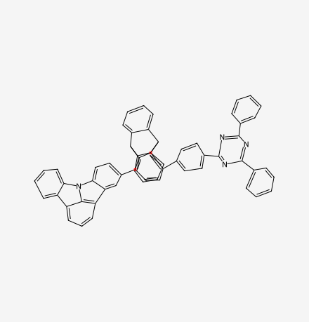 c1ccc(-c2nc(-c3ccccc3)nc(-c3ccc(-c4ccc(-c5ccc6c(c5)c5cccc7c8ccccc8n6c75)c5c4C4c6ccccc6C5c5ccccc54)cc3)n2)cc1